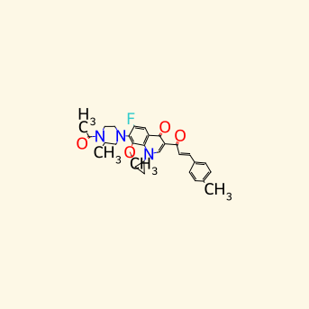 COc1c(N2CCN(C(C)=O)C(C)C2)c(F)cc2c(=O)c(C(=O)/C=C/c3ccc(C)cc3)cn(C3CC3)c12